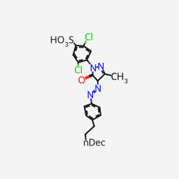 CCCCCCCCCCCCc1ccc(N=NC2C(=O)N(c3cc(Cl)c(S(=O)(=O)O)cc3Cl)N=C2C)cc1